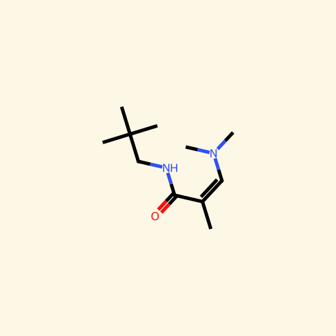 CC(=CN(C)C)C(=O)NCC(C)(C)C